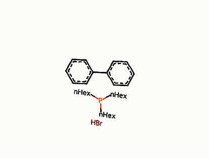 Br.CCCCCCP(CCCCCC)CCCCCC.c1ccc(-c2ccccc2)cc1